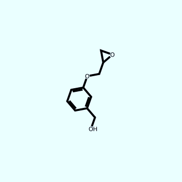 OCc1cccc(OCC2CO2)c1